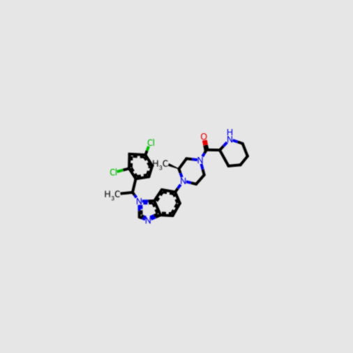 CC(c1ccc(Cl)cc1Cl)n1cnc2ccc(N3CCN(C(=O)C4CCCCN4)C[C@@H]3C)cc21